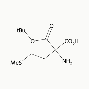 CSCCC(N)(C(=O)O)C(=O)OC(C)(C)C